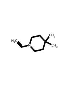 C=CN1CCC(C)(C)CC1